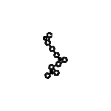 c1ccc(-n2c3ccccc3c3c(-c4ccc5c6ccccc6n(-c6ccc(-c7ccc(-c8ccc9oc%10ccccc%10c9c8)cc7)cc6)c5c4)cccc32)cc1